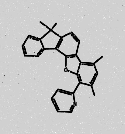 Cc1cc(C)c2c(oc3c4c(ccc32)C(C)(C)c2ccccc2-4)c1-c1ccccn1